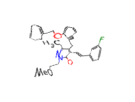 COCCn1nc(C)c(-c2ccccc2OCc2ccccc2)c(C=Cc2cccc(F)c2)c1=O